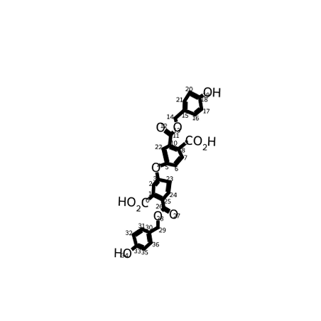 O=C(O)c1cc(Oc2ccc(C(=O)O)c(C(=O)OCc3ccc(O)cc3)c2)ccc1C(=O)OCc1ccc(O)cc1